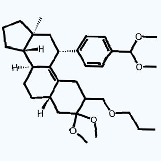 CCCOCC1CC2=C3[C@@H](CC[C@H]2CC1(OC)OC)[C@@H]1CCC[C@@]1(C)C[C@@H]3c1ccc(C(OC)OC)cc1